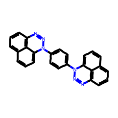 c1cc2c3c(cccc3c1)N(c1ccc(N3N=Nc4cccc5cccc3c45)cc1)N=N2